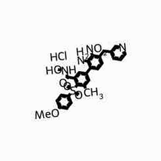 COc1ccc(S(=O)(=O)c2c(C)cc(-c3ccc(Cc4cccnc4)c([N+](=O)[O-])c3N)cc2C(=O)NO)cc1.Cl